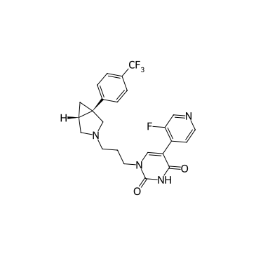 O=c1[nH]c(=O)n(CCCN2C[C@@H]3C[C@]3(c3ccc(C(F)(F)F)cc3)C2)cc1-c1ccncc1F